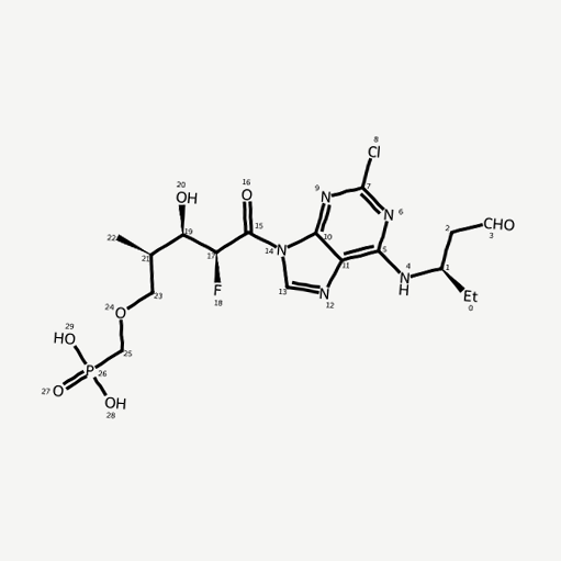 CC[C@H](CC=O)Nc1nc(Cl)nc2c1ncn2C(=O)[C@@H](F)[C@H](O)[C@H](C)COCP(=O)(O)O